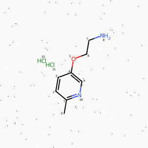 Cc1ccc(OCCN)cn1.Cl.Cl